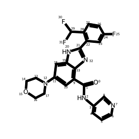 O=C(Nc1cccnc1)c1cc(N2CCOCC2)cc2[nH]c(-c3cc(F)ccc3C(F)F)nc12